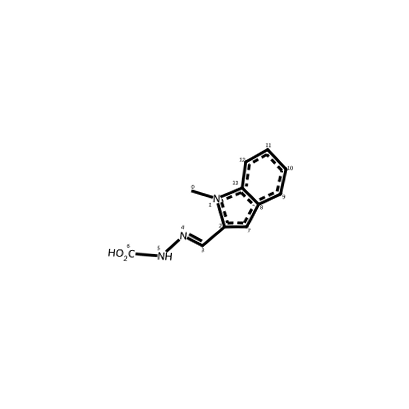 Cn1c(C=NNC(=O)O)cc2ccccc21